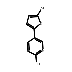 Sc1ccc(-c2ccc(S)s2)cn1